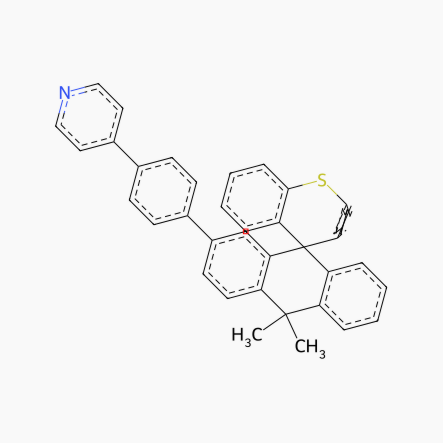 CC1(C)c2ccccc2C2(c3ccccc3Sc3ccccc32)c2cc(-c3ccc(-c4ccncc4)cc3)ccc21